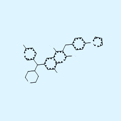 Cc1cc(C(c2ccc(C(F)(F)F)nc2)C2CCNCC2)cc2c(C#N)c(Cc3ccc(-n4cccn4)cc3)c(C#N)nc12